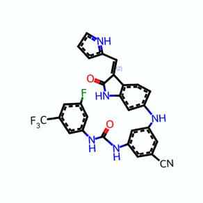 N#Cc1cc(NC(=O)Nc2cc(F)cc(C(F)(F)F)c2)cc(Nc2ccc3c(c2)NC(=O)/C3=C\c2ccc[nH]2)c1